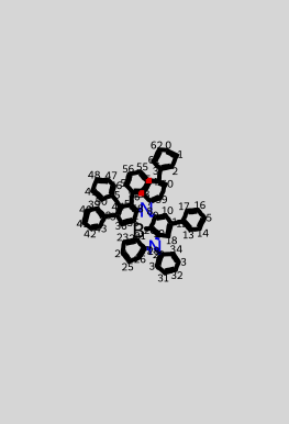 c1ccc(-c2ccc(N3c4cc(-c5ccccc5)cc5c4B(c4ccccc4N5c4ccccc4)c4cc(-c5ccccc5)c(-c5ccccc5)c(-c5ccccc5)c43)cc2)cc1